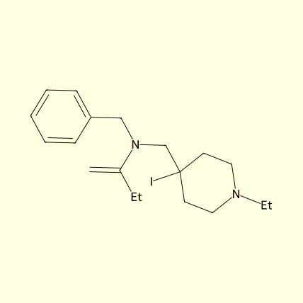 C=C(CC)N(Cc1ccccc1)CC1(I)CCN(CC)CC1